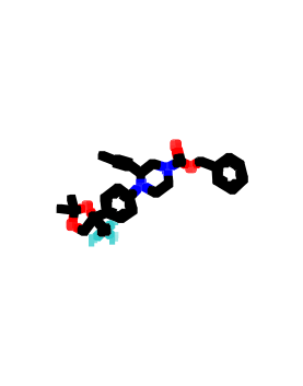 CC#CC1CN(C(=O)OCc2ccccc2)CCN1c1ccc(C2(C(F)(F)F)COC(C)(C)O2)cc1